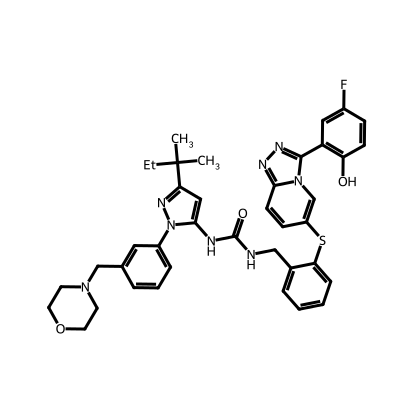 CCC(C)(C)c1cc(NC(=O)NCc2ccccc2Sc2ccc3nnc(-c4cc(F)ccc4O)n3c2)n(-c2cccc(CN3CCOCC3)c2)n1